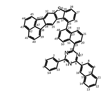 c1ccc(-c2nc(-c3ccc4ccccc4c3)nc(-c3cccc4c(-c5cccc6sc7cc8c(cc7c56)-c5cccc6cccc-8c56)cccc34)n2)cc1